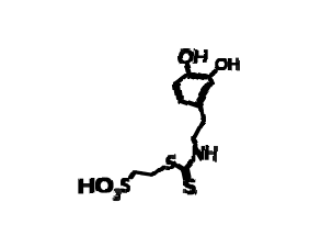 O=S(=O)(O)CCSC(=S)NCCc1ccc(O)c(O)c1